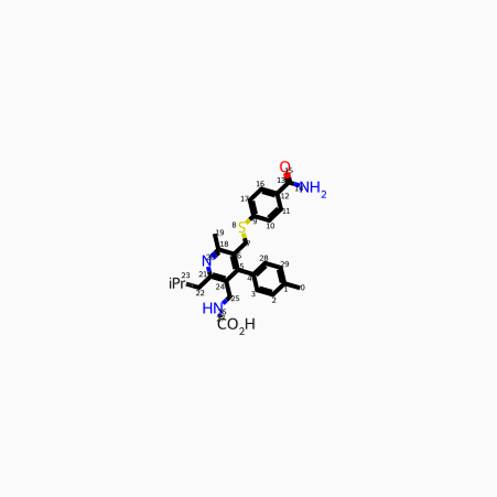 Cc1ccc(-c2c(CSc3ccc(C(N)=O)cc3)c(C)nc(CC(C)C)c2CNC(=O)O)cc1